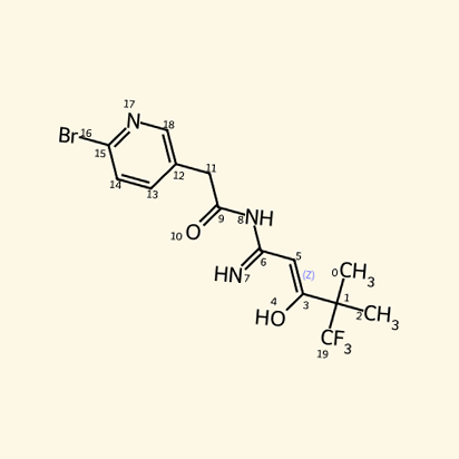 CC(C)(/C(O)=C/C(=N)NC(=O)Cc1ccc(Br)nc1)C(F)(F)F